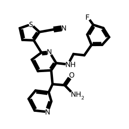 N#Cc1sccc1-c1ccc(C(C(N)=O)c2cccnc2)c(NCCc2cccc(F)c2)n1